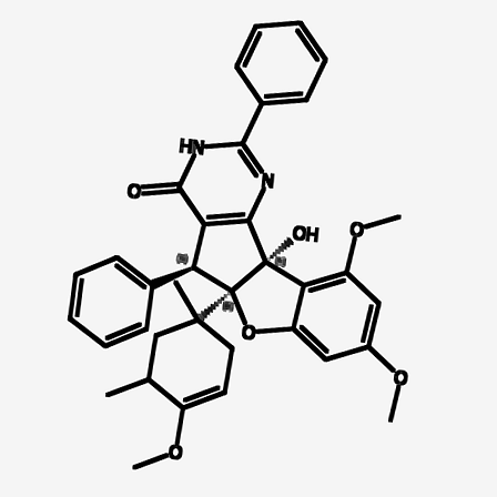 COC1=CCC(C)([C@@]23Oc4cc(OC)cc(OC)c4[C@]2(O)c2nc(-c4ccccc4)[nH]c(=O)c2[C@@H]3c2ccccc2)CC1C